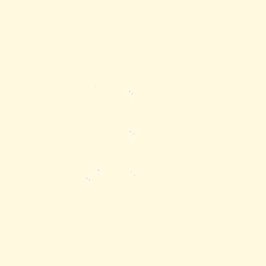 Cc1cn(C)nc1-c1nccc2[nH]c(-c3c(Oc4ccc(F)c(F)c4C)ncc(C(F)(F)F)c3C)cc(=O)c12